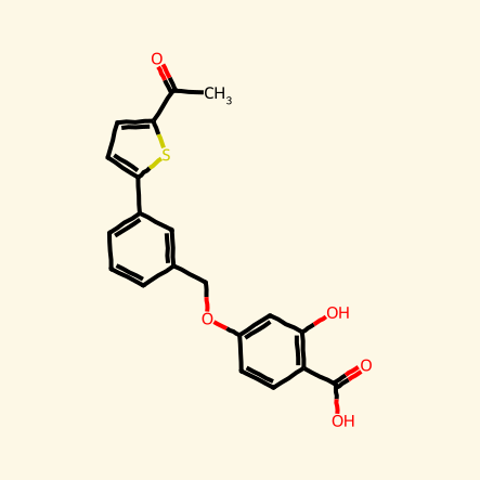 CC(=O)c1ccc(-c2cccc(COc3ccc(C(=O)O)c(O)c3)c2)s1